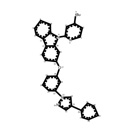 CC(C)(C)c1ccnc(-n2c3ccccc3c3ccc(Oc4cccc(-n5cc(-c6ccccc6)cn5)c4)cc32)c1